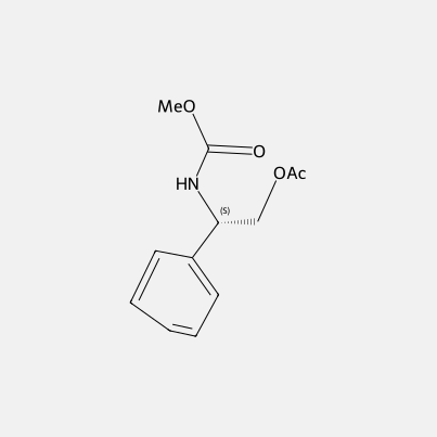 COC(=O)N[C@H](COC(C)=O)c1ccccc1